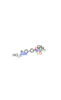 CC1(C)O[C@H](c2ccc(-c3ccc(C4(NC(=O)O)CC4)nc3)cc2)[C@@H](CF)N1C(=O)C(F)F